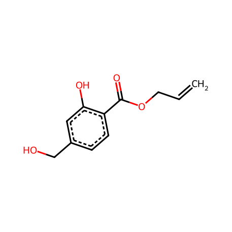 C=CCOC(=O)c1ccc(CO)cc1O